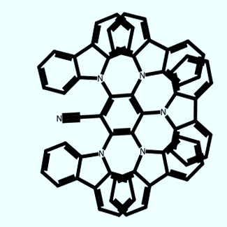 N#Cc1c(-n2c3ccccc3c3ccccc32)c(-n2c3ccccc3c3ccccc32)c(-n2c3ccccc3c3ccccc32)c(-n2c3ccccc3c3ccccc32)c1-n1c2ccccc2c2ccccc21